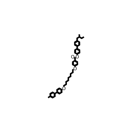 CCC(C)Cc1ccc(-c2ccc(OC(=O)c3ccc(OCCCCCCCCCOc4ccc(-c5ccc(C)cc5)cc4)cc3)cc2)cc1